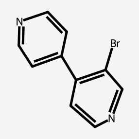 Brc1cnccc1-c1ccncc1